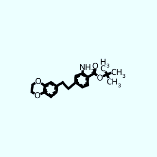 CC(C)(C)OC(=O)c1ccc(CCc2ccc3c(c2)OCCO3)cc1N